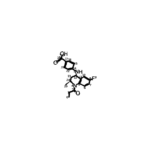 CCC(=O)N1c2ccc(F)cc2[C@H](Nc2ccc(C(=O)O)cc2)C[C@@H]1C